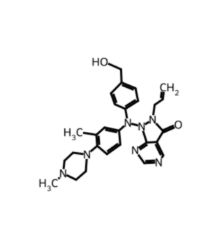 C=CCn1c(=O)c2cncnc2n1N(c1ccc(CO)cc1)c1ccc(N2CCN(C)CC2)c(C)c1